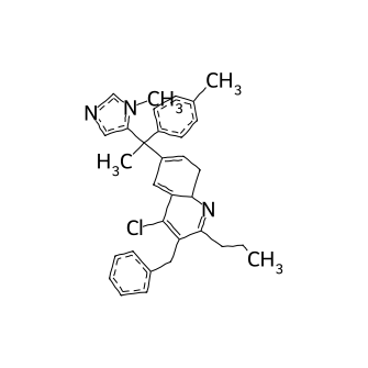 CCCC1=NC2CC=C(C(C)(c3ccc(C)cc3)c3cncn3C)C=C2C(Cl)=C1Cc1ccccc1